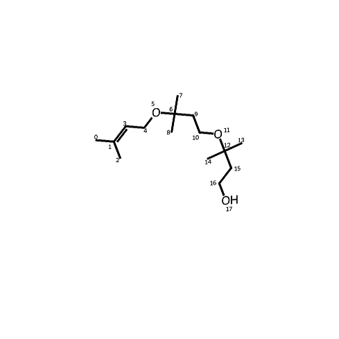 CC(C)=CCOC(C)(C)CCOC(C)(C)CCO